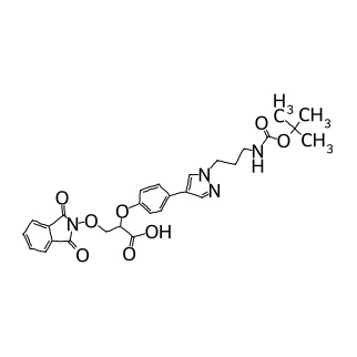 CC(C)(C)OC(=O)NCCCn1cc(-c2ccc(OC(CON3C(=O)c4ccccc4C3=O)C(=O)O)cc2)cn1